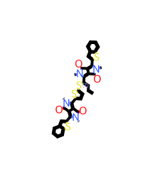 C=C/C=C(\Sc1ccc(C2=C3C(=O)N(C)C(c4cc5ccccc5s4)=C3C(=O)N2C)s1)C1=C2C(=O)N(C)C(c3cc4ccccc4s3)=C2C(=O)N1C